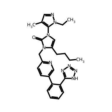 CCCCc1cn(-c2c(C)cnn2CC)c(=O)n1Cc1ccc(-c2ccccc2-c2nnn[nH]2)cn1